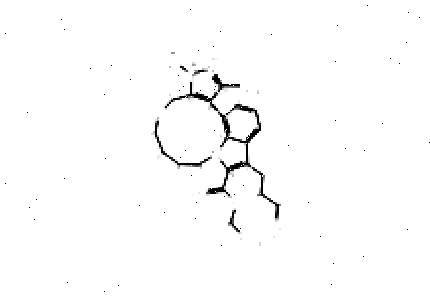 CCOC(=O)c1c(CCCBr)c2cccc3c2n1CCCCOCc1c-3c(C)nn1C